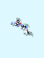 CCc1noc([C@@H](C(=O)Nc2ccc(-c3c(C)nn(COCC[Si](C)(C)C)c3C)c(F)n2)C2CCC(C)CC2)c1C(N)=O